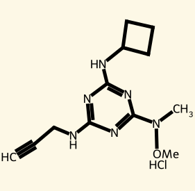 C#CCNc1nc(NC2CCC2)nc(N(C)OC)n1.Cl